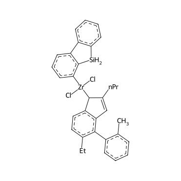 CCCC1=Cc2c(ccc(CC)c2-c2ccccc2C)[CH]1[Zr]([Cl])([Cl])[c]1cccc2c1[SiH2]c1ccccc1-2